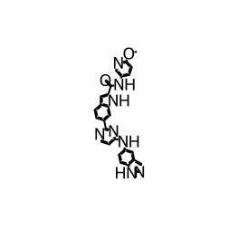 COc1ccc(NC(=O)c2cc3ccc(-c4nccc(Nc5ccc6[nH]ncc6c5)n4)cc3[nH]2)cn1